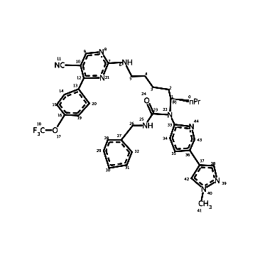 CCC[C@H](CCCCNc1ncc(C#N)c(-c2ccc(OC(F)(F)F)cc2)n1)N(C(=O)NCc1ccccc1)c1ccc(-c2cnn(C)c2)cn1